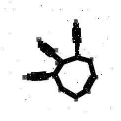 N#CC1CC=CCCC(C#N)C1C#N